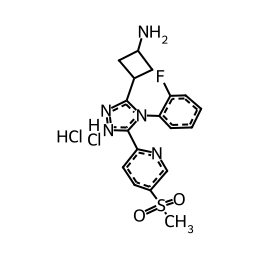 CS(=O)(=O)c1ccc(-c2nnc(C3CC(N)C3)n2-c2ccccc2F)nc1.Cl.Cl